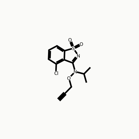 C#CCON(C1=NS(=O)(=O)c2cccc(Cl)c21)C(C)C